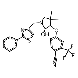 CC1(C)CN(Cc2csc(-c3ccccc3)n2)[C@H](O)C1Oc1ccc(C#N)c(C(F)(F)F)c1